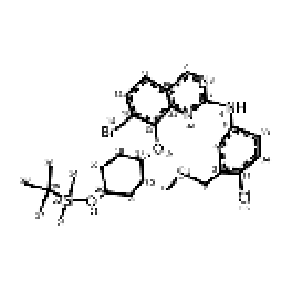 CSCc1cc(Nc2ncc3ccc(Br)c(O[C@H]4CC[C@@H](O[Si](C)(C)C(C)(C)C)CC4)c3n2)ccc1Cl